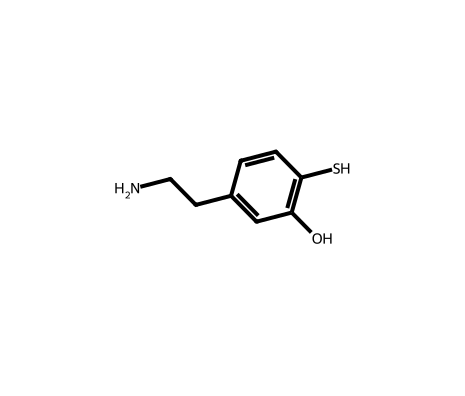 NCCc1ccc(S)c(O)c1